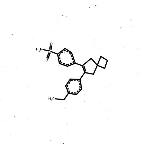 CCc1ccc(C2=C(c3ccc(S(N)(=O)=O)cc3)CC3(CCC3)C2)cc1